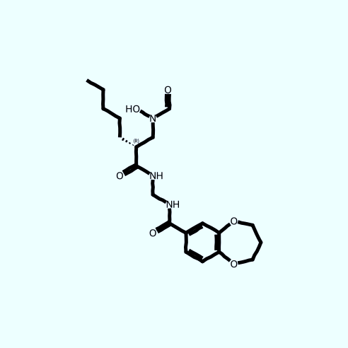 CCCCC[C@H](CN(O)C=O)C(=O)NCNC(=O)c1ccc2c(c1)OCCCO2